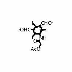 CC(=O)OCC(=O)Nc1c(I)c([C]=O)c(I)c([C]=O)c1I